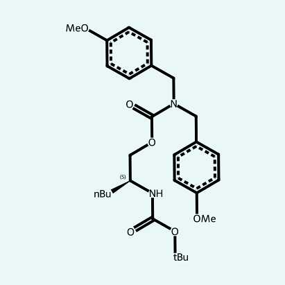 CCCC[C@@H](COC(=O)N(Cc1ccc(OC)cc1)Cc1ccc(OC)cc1)NC(=O)OC(C)(C)C